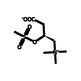 C[N+](C)(C)C[C@@H](CC(=O)[O-])OS(C)(=O)=O